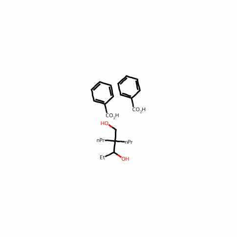 CCCC(CO)(CCC)C(O)CC.O=C(O)c1ccccc1.O=C(O)c1ccccc1